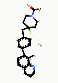 CCC(=O)N1CCC(F)(Cc2ccc(-c3ccc4cccnc4c3C)cc2)CC1.Cl